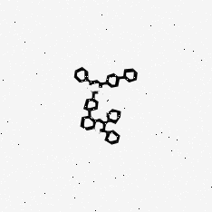 c1ccc(-c2ccc(-c3cc(-c4ccccc4)nc(-c4ccc(-c5cccc6nc(-c7ccccc7)c7c8ccccc8oc7c56)cc4)n3)cc2)cc1